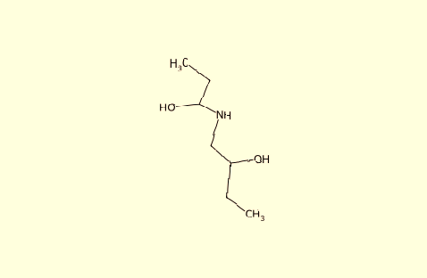 CCC(O)CNC(O)CC